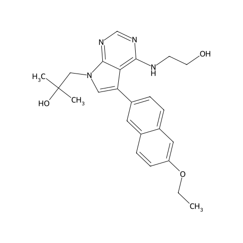 CCOc1ccc2cc(-c3cn(CC(C)(C)O)c4ncnc(NCCO)c34)ccc2c1